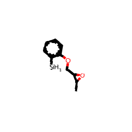 CC1OC1COc1ccccc1[SiH3]